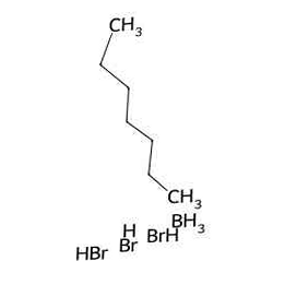 B.Br.Br.Br.CCCCCCC